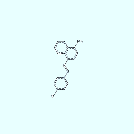 CCc1ccc(/N=N/c2ccc(N)c3ccccc23)cc1